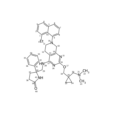 CCc1cccc2cccc(N3CCc4c(nc(OCC5(CN(C)C)CC5)nc4NCC4(c5ccccc5)CCC(=O)N4)C3)c12